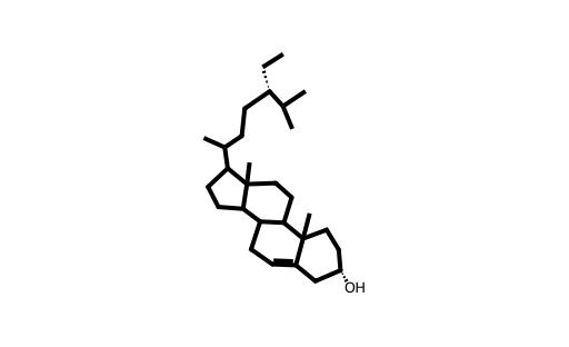 CC[C@@H](CCC(C)C1CCC2C3CC=C4C[C@@H](O)CCC4(C)C3CCC12C)C(C)C